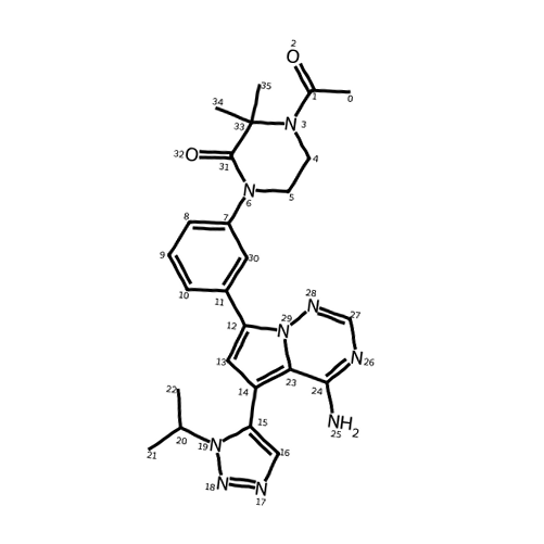 CC(=O)N1CCN(c2cccc(-c3cc(-c4cnnn4C(C)C)c4c(N)ncnn34)c2)C(=O)C1(C)C